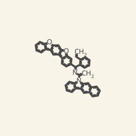 C=Cc1ccccc1/C(=N\C(=C)n1c2ccccc2c2cc3ccccc3cc21)c1ccc2c(c1)oc1cc3oc4ccccc4c3cc12